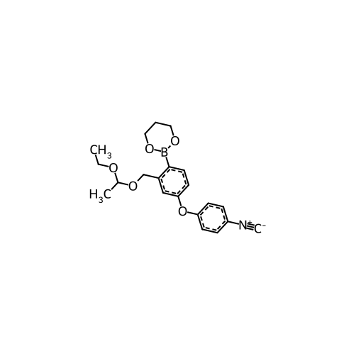 [C-]#[N+]c1ccc(Oc2ccc(B3OCCCO3)c(COC(C)OCC)c2)cc1